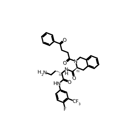 NCC[C@H](NC(=O)[C@@H]1Cc2ccccc2CN1C(=O)CCC(=O)c1ccccc1)C(=O)Nc1ccc(F)c(C(F)(F)F)c1